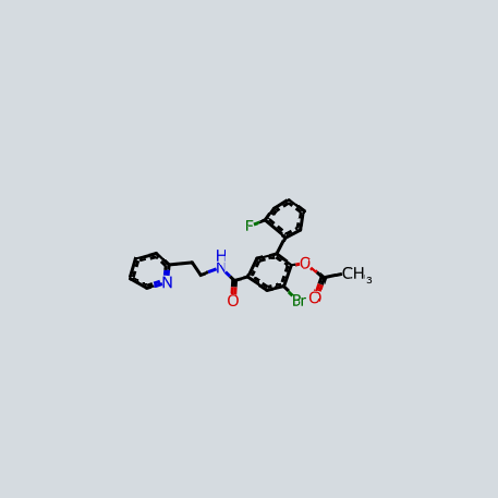 CC(=O)Oc1c(Br)cc(C(=O)NCCc2ccccn2)cc1-c1ccccc1F